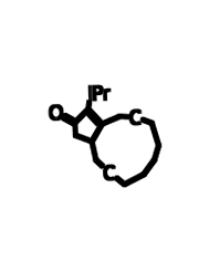 CC(C)C1=C2CCCCCCCCCC2CC1=O